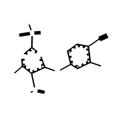 Cc1cc(Oc2nc(S(C)(=O)=O)nc(N)c2[N+](=O)[O-])ccc1C#N